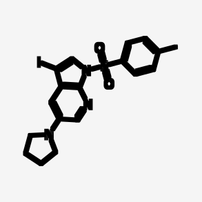 Cc1ccc(S(=O)(=O)n2cc(I)c3cc(N4CCCC4)cnc32)cc1